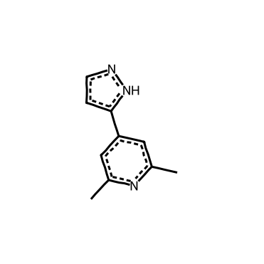 Cc1cc(-c2ccn[nH]2)cc(C)n1